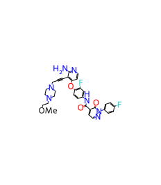 COCCN1CCN(CC#Cc2c(Oc3ccc(NC(=O)c4ccnn(-c5ccc(F)cc5)c4=O)cc3F)ccnc2N)CC1